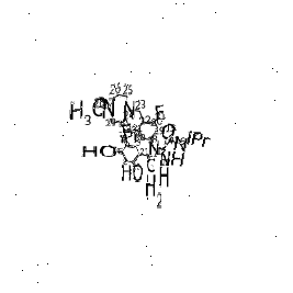 C=C(c1cc(C(C)C)c(O)cc1O)N(C(=N)C(=O)NC(C)C)c1cc(F)c(CN2CCN(C)CC2)c(F)c1